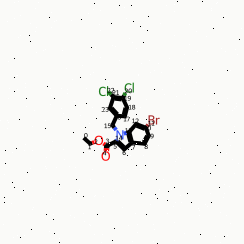 CCOC(=O)c1cc2ccc(Br)cc2n1Cc1ccc(Cl)c(Cl)c1